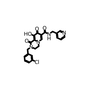 O=C(NCc1cccnc1)c1cn2c(c(O)c1=O)C(=O)N(Cc1cccc(Cl)c1)CC2